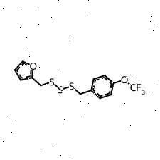 FC(F)(F)Oc1ccc(CSSSCc2ccco2)cc1